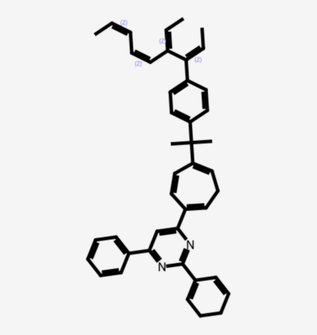 C\C=C/C=C\C(=C\C)C(=C/C)\c1ccc(C(C)(C)C2=CCC=C(c3cc(-c4ccccc4)nc(C4=CCCC=C4)n3)C=C2)cc1